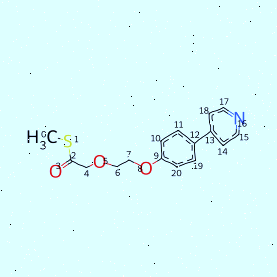 CSC(=O)COCCOc1ccc(-c2ccncc2)cc1